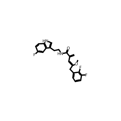 C=C(/C=C(/Cc1cccc(F)c1F)OC)C(=O)NCCc1c[nH]c2ccc(F)cc12